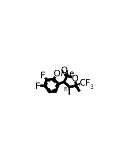 COc1c(C2C(=O)O[C@@](C)(C(F)(F)F)[C@H]2C)ccc(F)c1F